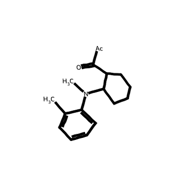 CC(=O)C(=O)C1CCCCC1N(C)c1ccccc1C